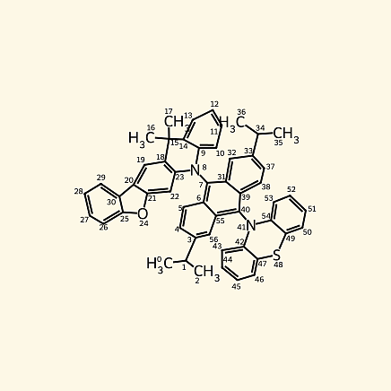 CC(C)c1ccc2c(N3c4ccccc4C(C)(C)c4cc5c(cc43)oc3ccccc35)c3cc(C(C)C)ccc3c(N3c4ccccc4Sc4ccccc43)c2c1